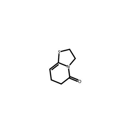 O=C1CCC=C2SCCN12